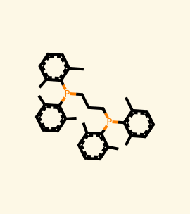 Cc1cccc(C)c1P(CCCP(c1c(C)cccc1C)c1c(C)cccc1C)c1c(C)cccc1C